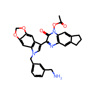 CC(=O)On1c(=O)c(-c2cn(Cc3cccc(CN)c3)c3cc4c(cc23)OCO4)nc2cc3c(cc21)CCC3